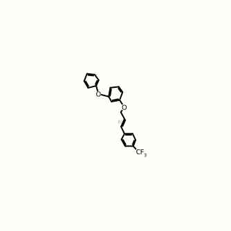 FC(F)(F)c1ccc(/C=C/COc2cccc(Oc3c[c]ccc3)c2)cc1